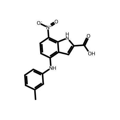 Cc1cccc(Nc2ccc([N+](=O)[O-])c3[nH]c(C(=O)O)cc23)c1